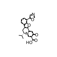 CC(C)[C@@H]1Cc2c(oc3c(-c4cnco4)cccc23)-c2cc(=O)c(C(=O)O)cn21